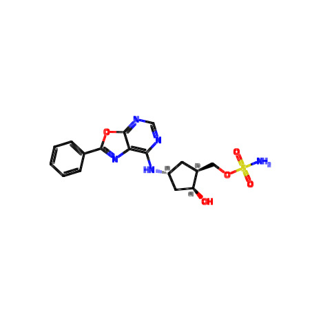 NS(=O)(=O)OC[C@@H]1C[C@@H](Nc2ncnc3oc(-c4ccccc4)nc23)C[C@@H]1O